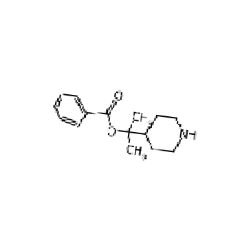 CC(C)(OC(=O)c1ccccc1)C1CCNCC1